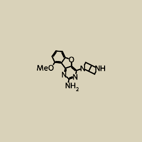 COc1cccc2oc3c(N4CC5NCC54)nc(N)nc3c12